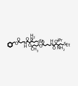 CCSCC[C@@H](N)C(OC(C)C)C(=O)NCCCC(=O)OCCCC(C)OC(C(=O)NCCC(=O)OCc1ccccc1)[C@H](N)CCSCC